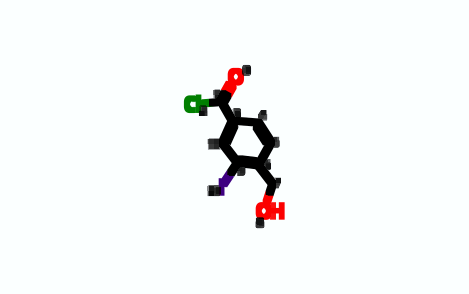 O=C(Cl)c1ccc(CO)c(I)c1